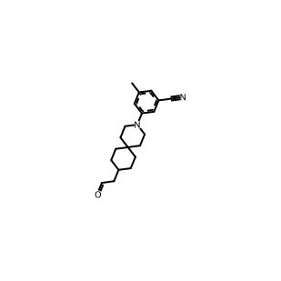 Cc1cc(C#N)cc(N2CCC3(CCC(CC=O)CC3)CC2)c1